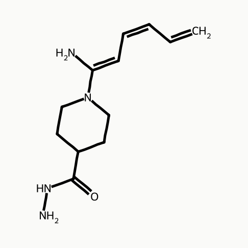 C=C/C=C\C=C(/N)N1CCC(C(=O)NN)CC1